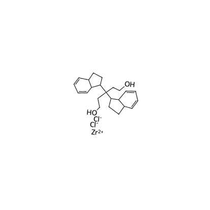 OCCC(CCO)(C1CCC2C=CC=CC21)C1CCC2C=CC=CC21.[Cl-].[Cl-].[Zr+2]